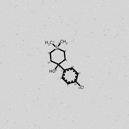 C[Si]1(C)CCC(O)(c2ccc(Cl)cc2)CC1